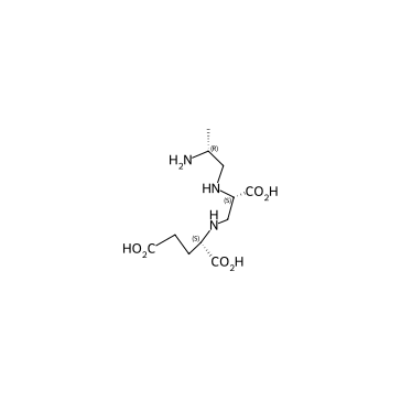 C[C@@H](N)CN[C@@H](CN[C@@H](CCC(=O)O)C(=O)O)C(=O)O